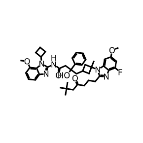 COc1cc(F)c2nc(CCCC(=O)CC(C)(C)C)n(C3(C)CC(CC(O)(CC(=O)Nc4nc5cccc(OC)c5n4C4CCC4)c4ccccc4)C3)c2c1